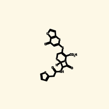 O=C(Cc1cccs1)NC1C(=O)N2C(C(=O)O)=C(Sc3cc(=O)c4occc4s3)CS[C@@H]12